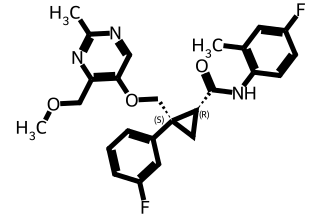 COCc1nc(C)ncc1OC[C@@]1(c2cccc(F)c2)C[C@H]1C(=O)Nc1ccc(F)cc1C